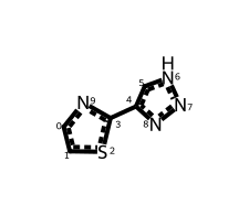 c1csc(-c2c[nH]nn2)n1